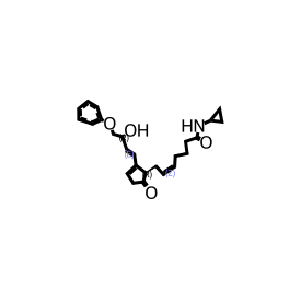 O=C(CCC/C=C\C[C@H]1C(=O)CC=C1/C=C/[C@@H](O)COc1ccccc1)NC1CC1